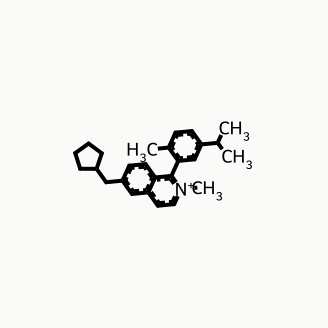 Cc1ccc(C(C)C)cc1-c1c2ccc(CC3CCCC3)cc2cc[n+]1C